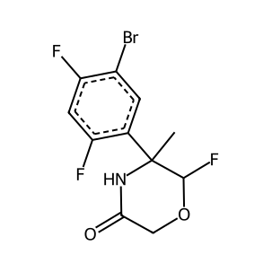 CC1(c2cc(Br)c(F)cc2F)NC(=O)COC1F